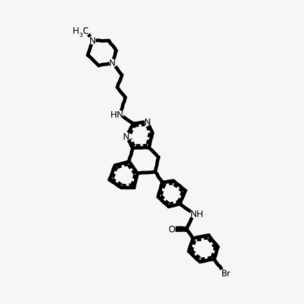 CN1CCN(CCCNc2ncc3c(n2)-c2ccccc2C(c2ccc(NC(=O)c4ccc(Br)cc4)cc2)C3)CC1